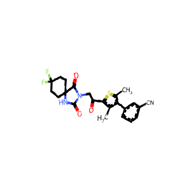 Cc1sc(C(=O)CN2C(=O)NC3(CCC(F)(F)CC3)C2=O)c(C)c1-c1cccc(C#N)c1